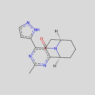 Cc1nc(-c2ccn[nH]2)c2c(n1)[C@@H]1CCC[C@H](C2)N1C=O